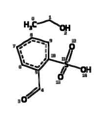 CCO.O=Cc1ccccc1S(=O)(=O)O